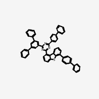 c1ccc(-c2ccc(-c3nc(-c4cc(-c5ccccc5)cc(-c5ccccc5)c4)nc(-c4cccc5sc6c(-c7ccc(-c8ccccc8)cc7)cccc6c45)n3)cc2)cc1